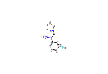 NC(CN1CCCC1)c1cccc(F)c1